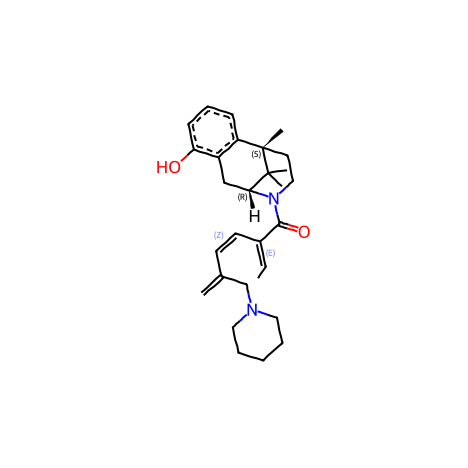 C=C(/C=C\C(=C/C)C(=O)N1CC[C@@]2(C)c3cccc(O)c3C[C@@H]1C2(C)C)CN1CCCCC1